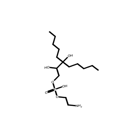 CCCCCC(O)(CCCCC)C(O)COP(=O)(O)OCCN